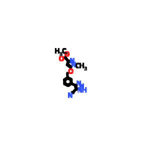 COC(=O)c1cc(OCc2cccc(-c3nn[nH]c3C#N)c2)n(C)n1